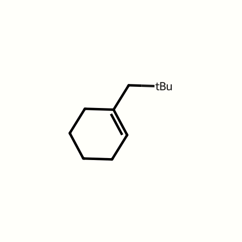 CC(C)(C)CC1=CCCCC1